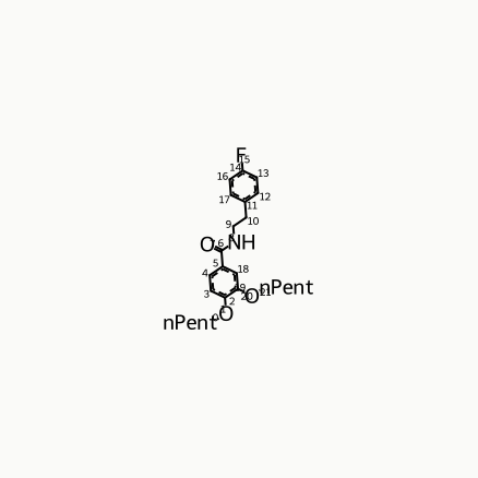 CCCCCOc1ccc(C(=O)NCCc2ccc(F)cc2)cc1OCCCCC